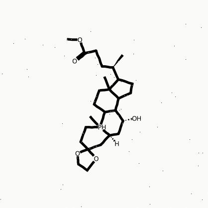 COC(=O)CC[C@@H](C)C1CCC2C3C(CCC21C)[PH]1(C)CCC2(C[C@@H]1C[C@H]3O)OCCO2